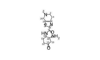 CN1CCc2nc(C(=O)NC3CCC(=O)CC3N)sc2C1